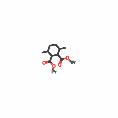 CC(C)OC(=O)C1C(C)CCC(C)C1C(=O)OC(C)C